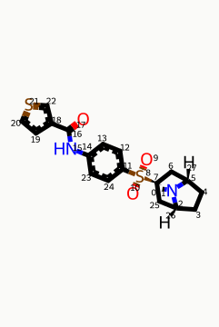 CN1[C@@H]2CC[C@H]1C[C@H](S(=O)(=O)c1ccc(NC(=O)c3ccsc3)cc1)C2